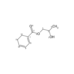 CC(O)COC(=O)C1=CC=CCC1